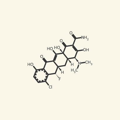 CN(C)[C@@H]1C(O)=C(C(N)=O)C(=O)[C@@]2(O)C(O)=C3C(=O)c4c(O)ccc(Cl)c4[C@@H](F)[C@H]3C[C@@H]12